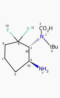 CC(C)(C)N(C(=O)O)[C@@H]1[C@@H](N)CCCC1(F)F